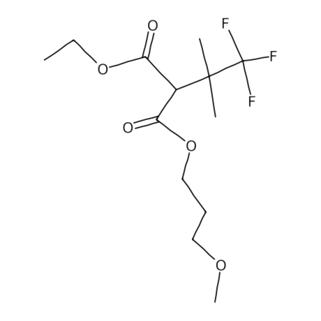 CCOC(=O)C(C(=O)OCCCOC)C(C)(C)C(F)(F)F